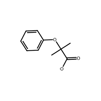 CC(C)(Oc1ccccc1)C([O])=O